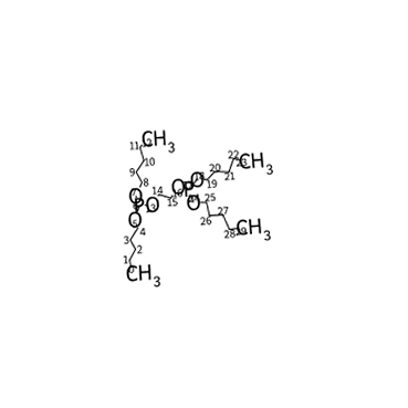 CCCCCOP(OCCCCC)OCCOP(OCCCCC)OCCCCC